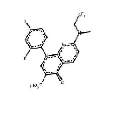 CN(CC(F)(F)F)c1ccc2c(=O)c(C(=O)O)cn(-c3ccc(F)cc3F)c2n1